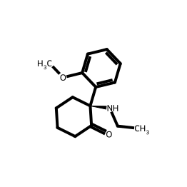 CCN[C@]1(c2ccccc2OC)CCCCC1=O